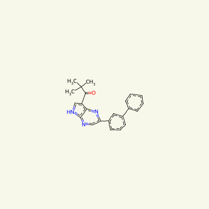 CC(C)(C)C(=O)c1c[nH]c2ncc(-c3cccc(-c4ccccc4)c3)nc12